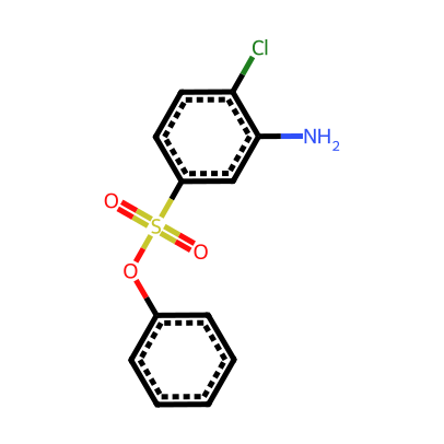 Nc1cc(S(=O)(=O)Oc2ccccc2)ccc1Cl